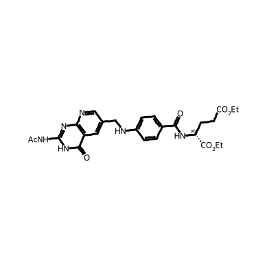 CCOC(=O)CC[C@@H](NC(=O)c1ccc(NCc2cnc3nc(NC(C)=O)[nH]c(=O)c3c2)cc1)C(=O)OCC